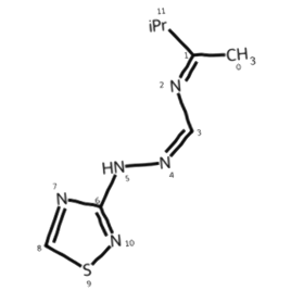 C/C(=N\C=N/Nc1ncsn1)C(C)C